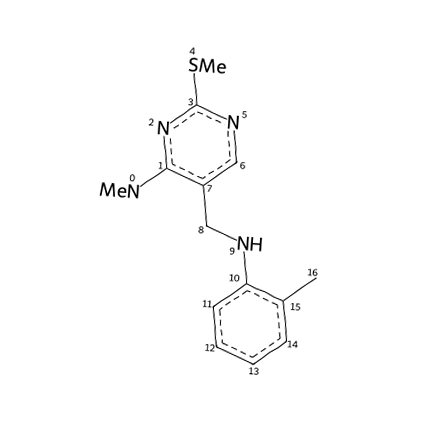 CNc1nc(SC)ncc1CNc1ccccc1C